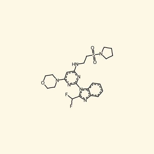 O=S(=O)(CCNc1cc(N2CCOCC2)nc(-n2c(C(F)F)nc3ccccc32)n1)N1CCCC1